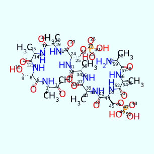 CC(=O)[C@H](C)NC(=O)[C@H](CO)NC(=O)[C@H](C)NC(=O)[C@H](C)NC(=O)[C@H](COP(=O)(O)O)NC(=O)[C@H](C)NC(=O)[C@H](C)NC(=O)[C@H](COP(=O)(O)O)NC(=O)[C@H](C)NC(=O)[C@H](C)N